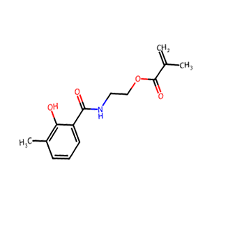 C=C(C)C(=O)OCCNC(=O)c1cccc(C)c1O